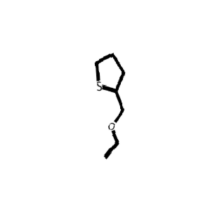 CCOCC1CCCS1